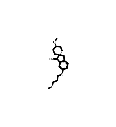 COCCCOc1ccc2c(c1)C(=N)[C@]1(CC[C@H](OC)CC1)C2